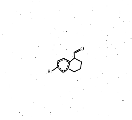 O=CC1CCCc2cc(Br)ccc21